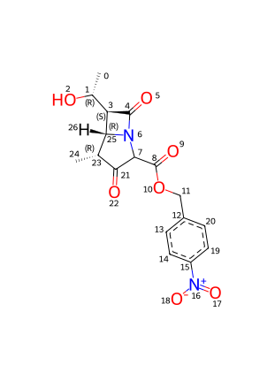 C[C@@H](O)[C@H]1C(=O)N2C(C(=O)OCc3ccc([N+](=O)[O-])cc3)C(=O)[C@H](C)[C@H]12